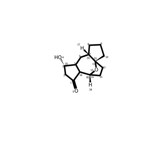 O=C1C[C@H](O)C2C[C@@H]3CCC[C@]34CC[C@@H](O4)C12